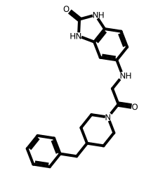 O=C(CNc1ccc2[nH]c(=O)[nH]c2c1)N1CCC(Cc2ccccc2)CC1